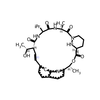 CC(C)C1NC(=O)[C@@H]([C@@H](C)O)/C=C/c2ccc3ccc(nc3c2)[C@@H](C)OC(=O)[C@@H]2CCCN(N2)C(=O)[C@H](C)NC1=O